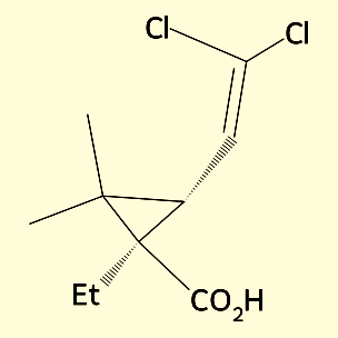 CC[C@@]1(C(=O)O)[C@@H](C=C(Cl)Cl)C1(C)C